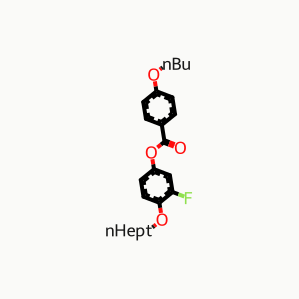 CCCCCCCOc1ccc(OC(=O)c2ccc(OCCCC)cc2)cc1F